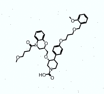 COCCCC(=O)N1C[C@H](CO[C@@H]2CN(C(=O)O)CCC2c2ccc(OCCCOCc3ccccc3OC)cc2)Oc2ccccc21